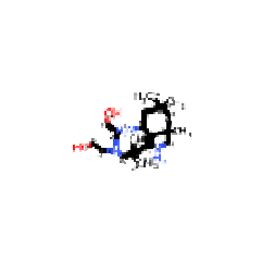 CC(C)(C=C1C(N)CC(C)(C)CC1(C)CN)CN(CCO)CCO